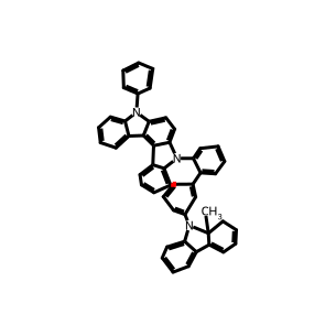 CC12CC=CC=C1c1ccccc1N2c1cccc(-c2ccccc2-n2c3ccccc3c3c4c5ccccc5n(-c5ccccc5)c4ccc32)c1